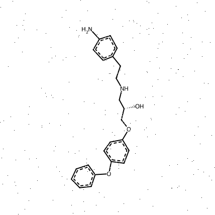 Nc1ccc(CCNC[C@H](O)COc2ccc(Oc3ccccc3)cc2)cc1